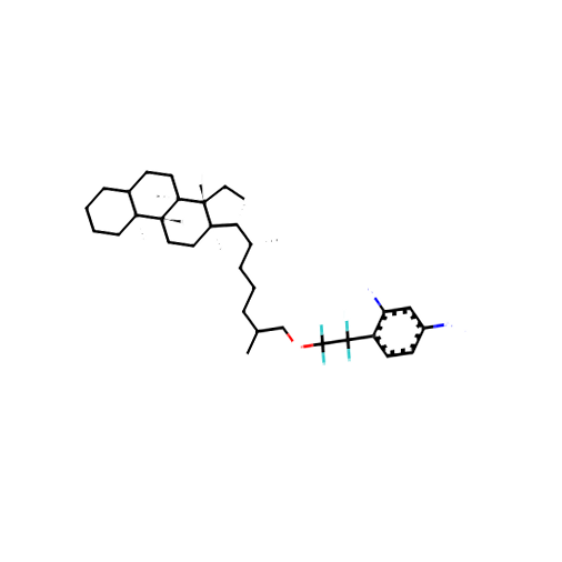 CC(CCC[C@@H](C)[C@H]1CC[C@H]2[C@@H]3CCC4CCCC[C@]4(C)[C@H]3CC[C@]12C)COC(F)(F)C(F)(F)c1ccc(N)cc1N